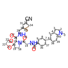 Cn1ccc2cc(-c3ccc(C(=O)NCC(=O)N4CCC5(OCCO5)[C@H]4C(=O)NCc4cc(C#N)cs4)cc3)ccc21